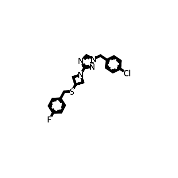 Fc1ccc(CSC2CN(c3ncn(Cc4ccc(Cl)cc4)n3)C2)cc1